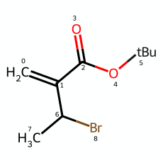 C=C(C(=O)OC(C)(C)C)C(C)Br